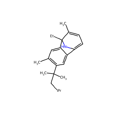 CCC12NC(=CC=C1C)c1cc(C(C)(C)CC(C)C)c(C)cc12